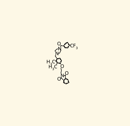 Cc1c(CN2CCN(C(=O)c3ccc(C(F)(F)F)cc3)CC2)ccc(OCCCN2C(=O)c3ccccc3C2=O)c1C